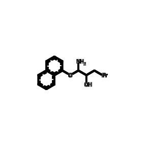 CC(C)CC(O)C(N)Oc1cccc2ccccc12